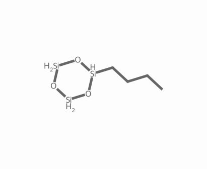 CCCC[SiH]1O[SiH2]O[SiH2]O1